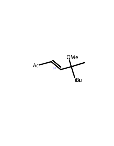 CCC(C)C(C)(/C=C/C(C)=O)OC